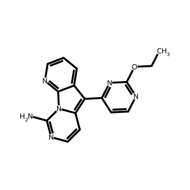 CCOc1nccc(-c2c3cccnc3n3c(N)nccc23)n1